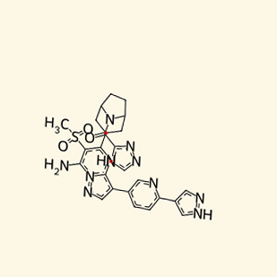 CS(=O)(=O)c1c(C2CC3CCC(C2)N3C(=O)c2nnc[nH]2)nc2c(-c3ccc(-c4cn[nH]c4)nc3)cnn2c1N